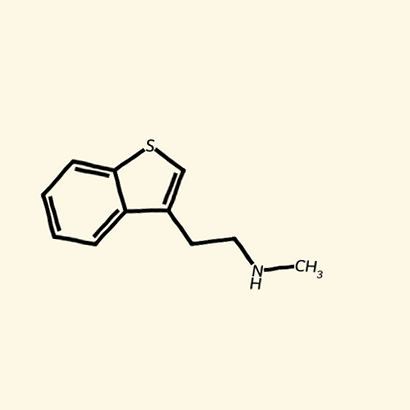 CNCCc1csc2ccccc12